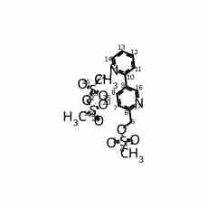 CS(=O)(=O)OCc1ccc(-c2ccccn2)cn1.CS(=O)(=O)OS(C)(=O)=O